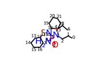 CCCN(CCC)P(N)(=O)N(SC1CCCCC1)C1CCCCC1